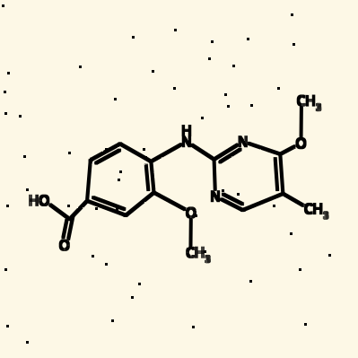 COc1cc(C(=O)O)ccc1Nc1ncc(C)c(OC)n1